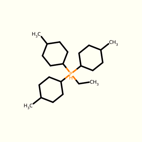 CC[PH](C1CCC(C)CC1)(C1CCC(C)CC1)C1CCC(C)CC1